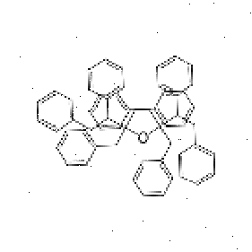 c1ccc(CC(c2ccccc2)C(Cc2ccccc2)(Cc2ccccc2)OC(Cc2ccccc2)(Cc2ccccc2)C(Cc2ccccc2)c2ccccc2)cc1